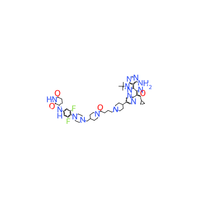 CC(C)(C)n1nc(-c2noc(C3CC3)c2-c2ncc(C3CCN(CCCC(=O)N4CCC(CN5CCN(c6c(F)cc(NC7CCC(=O)NC7=O)cc6F)CC5)CC4)CC3)cn2)c2c(N)ncnc21